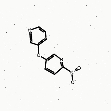 O=[N+]([O-])c1ccc(Oc2cccnc2)cn1